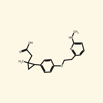 CNc1cccc(CCOc2ccc(C3CC3(C)CC(=O)O)cc2)n1